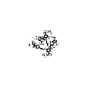 CCN(CC)S(=O)(=O)N1CCC(C#CCOc2cc(C(N)=O)cc3nc(NC(=O)c4cc(C)nn4CC)n(CC=CCn4c(NC(=O)c5cc(C)nn5CC)nc5cc(C(N)=O)cc(OC)c54)c23)CC1